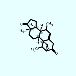 CC1C=C2CC(=O)CC(C)[C@]2(C=O)[C@@H]2CC[C@]3(C)C(=O)CC[C@H]3[C@H]12